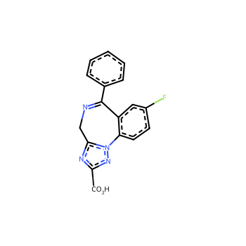 O=C(O)c1nc2n(n1)-c1ccc(F)cc1C(c1ccccc1)=NC2